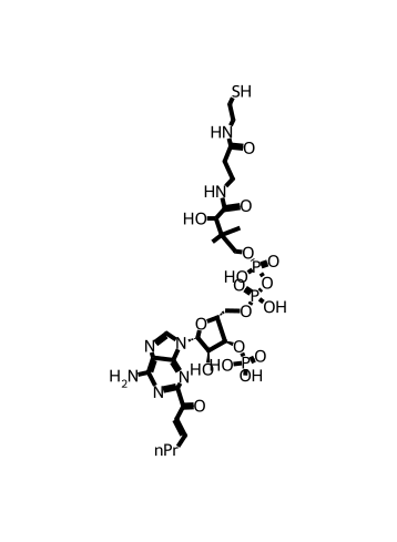 CCC/C=C/C(=O)c1nc(N)c2ncn([C@@H]3O[C@H](COP(=O)(O)OP(=O)(O)OCC(C)(C)C(O)C(=O)NCCC(=O)NCCS)[C@@H](OP(=O)(O)O)[C@H]3O)c2n1